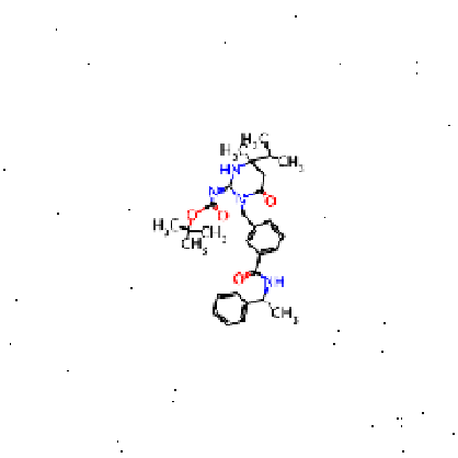 CC(C)[C@]1(C)CC(=O)N(Cc2cccc(C(=O)N[C@H](C)c3ccccc3)c2)/C(=N\C(=O)OC(C)(C)C)N1